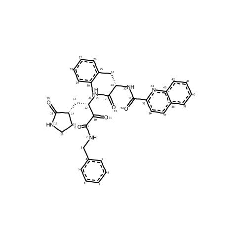 O=C(NCc1ccccc1)C(=O)[C@H](C[C@@H]1CCNC1=O)NC(=O)[C@H](Cc1ccccc1F)NC(=O)c1ccc2ccccc2n1